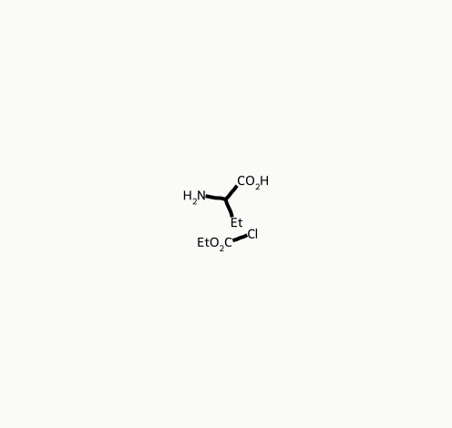 CCC(N)C(=O)O.CCOC(=O)Cl